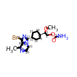 COC(COC(N)=O)[C@H]1CC[C@H](c2nc(Br)c3c(C)nccn32)CC1